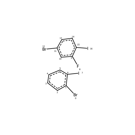 Brc1ccccc1I.Fc1cc(Br)ccc1I